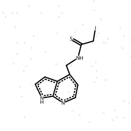 S=C(CI)NCc1ccnc2[nH]ccc12